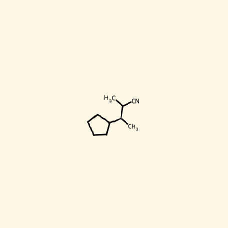 CC(C#N)C(C)C1CCCC1